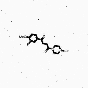 CCCN1CCN(C(=O)CCC(=O)c2ccc(OC)c(F)c2)CC1